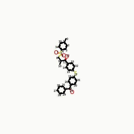 Cc1ccc(S(=O)(=O)CC(C)C(=O)c2ccc(Sc3ccc(C(=O)c4ccccc4)cc3)cc2)cc1